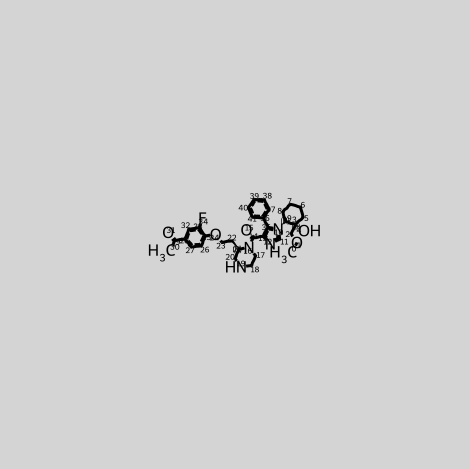 COC[C@]1(O)CCCC[C@H]1n1cnc(C(=O)N2CCNC[C@H]2CCOc2ccc(C(C)=O)cc2F)c1-c1ccccc1